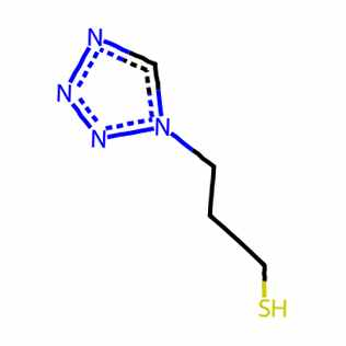 SCCCn1cnnn1